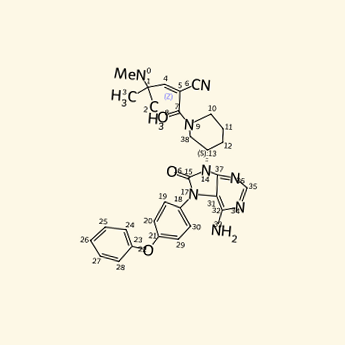 CNC(C)(C)/C=C(/C#N)C(=O)N1CCC[C@H](n2c(=O)n(-c3ccc(Oc4ccccc4)cc3)c3c(N)ncnc32)C1